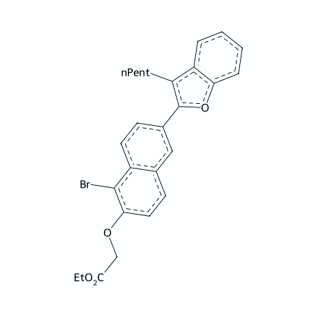 CCCCCc1c(-c2ccc3c(Br)c(OCC(=O)OCC)ccc3c2)oc2ccccc12